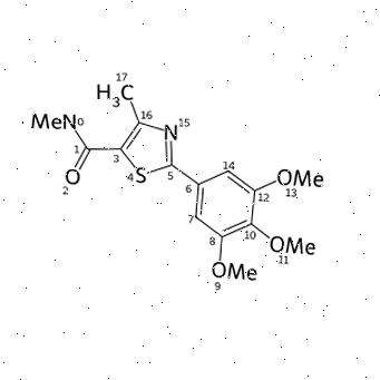 CNC(=O)c1sc(-c2cc(OC)c(OC)c(OC)c2)nc1C